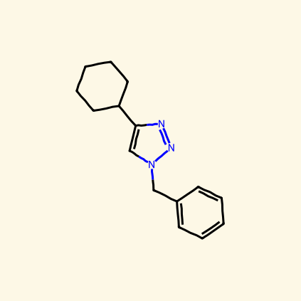 c1ccc(Cn2cc(C3CCCCC3)nn2)cc1